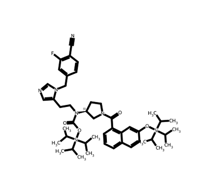 CC(C)[Si](OC(=O)N(CCc1cncn1Cc1ccc(C#N)c(F)c1)[C@H]1CCN(C(=O)c2cccc3ccc(O[Si](C(C)C)(C(C)C)C(C)C)cc23)C1)(C(C)C)C(C)C